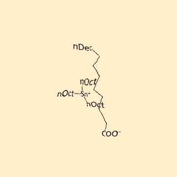 CCCCCCCCCCCCCCCCCC(=O)[O-].CCCCCCC[CH2][Sn+]([CH2]CCCCCCC)[CH2]CCCCCCC